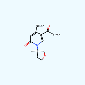 COC(=O)c1cn(C2(C)CCOC2)c(=O)cc1NC(C)=O